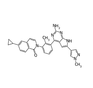 Cc1c(-c2nc(N)nc3[nH]c(-c4cnn(C)c4)cc23)cccc1-n1ccc2cc(C3CC3)ccc2c1=O